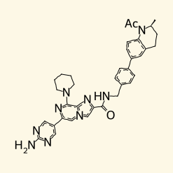 CC(=O)N1c2ccc(-c3ccc(CNC(=O)c4cn5cc(-c6cnc(N)nc6)nc(N6CCCCC6)c5n4)cc3)cc2CC[C@@H]1C